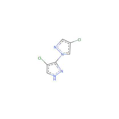 Clc1cnn(-c2n[nH]cc2Cl)c1